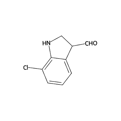 O=CC1CNc2c(Cl)cccc21